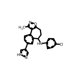 Cc1noc2c1-c1ccc(-c3cn[nH]c3)cc1C(Nc1ccc(Cl)cc1)CC2